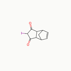 O=C1C(I)C(=O)C2C3C=CC(C3)C12